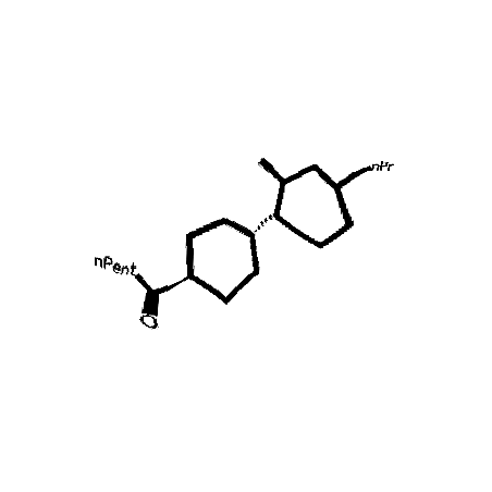 CCCCCC(=O)[C@H]1CC[C@H](C2CCC(CCC)CC2C)CC1